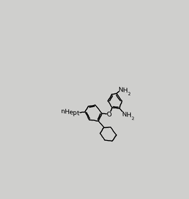 CCCCCCCc1ccc(Oc2ccc(N)cc2N)c(C2CCCCC2)c1